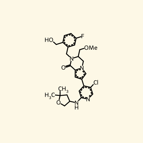 COCC1Cn2cc(-c3cc(NC4COC(C)(C)C4)ncc3Cl)cc2C(=O)N1Cc1cc(F)ccc1CO